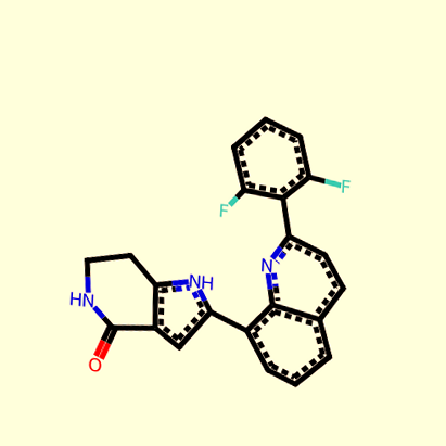 O=C1NCCc2[nH]c(-c3cccc4ccc(-c5c(F)cccc5F)nc34)cc21